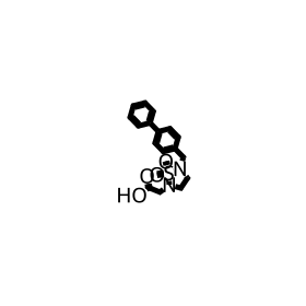 O=C(O)CN1CCN(Cc2ccc(-c3ccccc3)cc2)S1(=O)=O